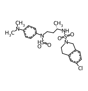 C[C@@H](CCN(c1ccc(N(C)C)cc1)[SH](=O)=O)NS(=O)(=O)N1CCc2cc(Cl)ccc2C1